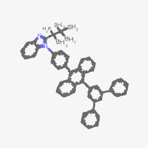 BC(B)(B)C(B)(B)c1nc2ccccc2n1-c1ccc(-c2c3ccccc3c(-c3cc(-c4ccccc4)cc(-c4ccccc4)c3)c3ccccc23)cc1